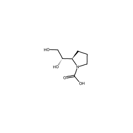 O=C(O)N1CCC[C@@H]1[C@H](O)CO